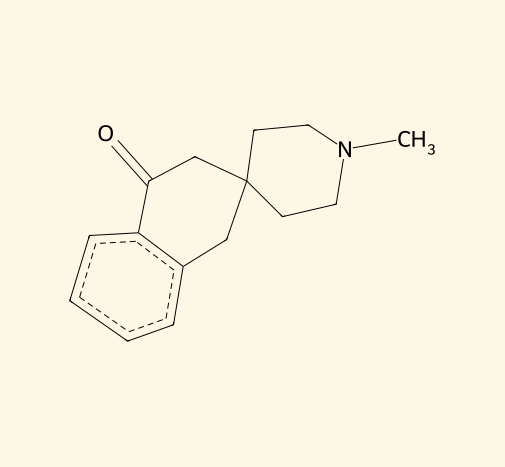 CN1CCC2(CC1)CC(=O)c1ccccc1C2